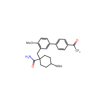 CNC1CCC(Cc2cc(-c3ccc(C(=O)C(F)(F)F)cc3)ccc2OC)(C(N)=O)CC1